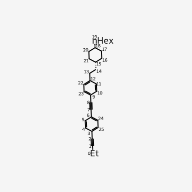 CCC#Cc1ccc(C#Cc2ccc(CC[C@H]3CC[C@H](CCCCCC)CC3)cc2)cc1